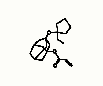 C=CC(=O)OC12CC3CC(C1)CC(OC1(CC)CCCC1)(C3)C2